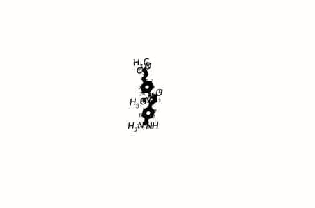 COC(=O)CCc1ccc(-n2c(=O)cc(-c3ccc(C(=N)N)cc3)n2C)cc1